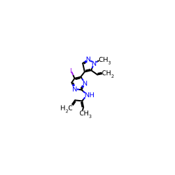 C=C/C(=C\C)Nc1ncc(I)c(-c2cnn(C)c2C=C)n1